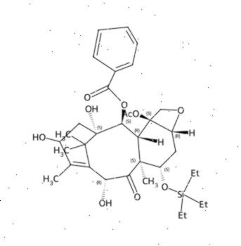 CC[Si](CC)(CC)O[C@H]1C[C@H]2OC[C@@]2(OC(C)=O)[C@H]2[C@H](OC(=O)c3ccccc3)[C@]3(O)CC(O)C(C)=C([C@@H](O)C(=O)[C@]12C)C3(C)C